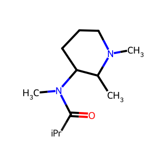 CC(C)C(=O)N(C)C1CCCN(C)C1C